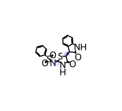 O=C1N/C(=N/S(=O)(=O)c2ccccc2)S/C1=C1/C(=O)Nc2ccccc21